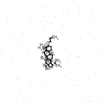 C=CCO[C@H]1CC[C@]2(C)[C@H]3CC[C@@H]4[C@H]5[C@H](C(=C)C)CC[C@]5(C(=O)O)CC[C@@]4(C)[C@]3(C)CC[C@H]2C1(C)C